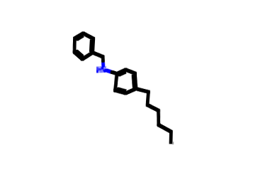 [CH2]CCCCCc1ccc(NCc2ccccc2)cc1